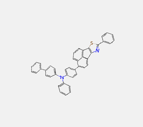 c1ccc(-c2ccc(N(c3ccccc3)c3ccc(-c4ccc5c6c(cccc46)-c4sc(-c6ccccc6)nc4-5)cc3)cc2)cc1